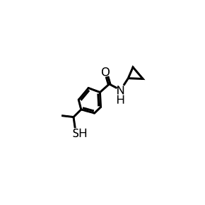 CC(S)c1ccc(C(=O)NC2CC2)cc1